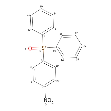 O=[N+]([O-])c1ccc([S+](=O)(c2ccccc2)c2ccccc2)cc1